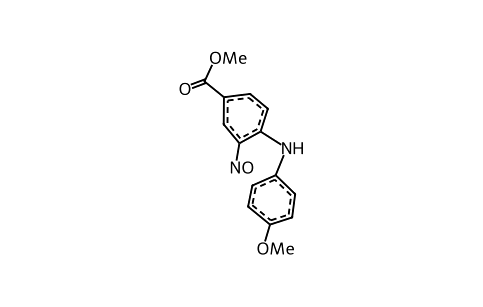 COC(=O)c1ccc(Nc2ccc(OC)cc2)c(N=O)c1